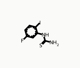 NC(=S)Nc1cc(F)ccc1I